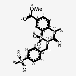 COC(=O)c1ccc2c(c1)S(=O)(=O)N(Cc1ccc(S(C)(=O)=O)cc1)C(=O)N2C